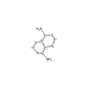 Nc1cccc2c(N)cc[c]c12